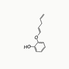 C=CCC=COc1ccccc1O